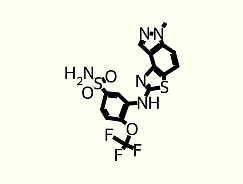 Cn1ncc2c3nc(Nc4cc(S(N)(=O)=O)ccc4OC(F)(F)F)sc3ccc21